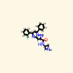 CN1CC(NC(=O)c2cc3nc(-c4ccccc4F)cc(-c4ccccc4)n3n2)C1